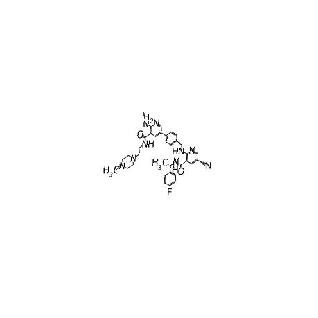 C[C@H](NC(=O)c1cc(C#N)cnc1NCc1ccc(-c2cnc(N)c(C(=O)NCCN3CCN(C)CC3)c2)cc1)c1ccc(F)cc1